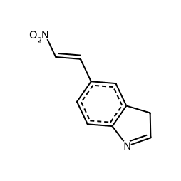 O=[N+]([O-])/C=C/c1ccc2c(c1)CC=N2